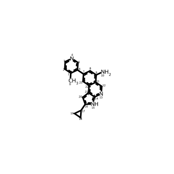 Cc1ccncc1-c1cc(N)c2cnc3[nH]c(C4CC4)cc3c2c1